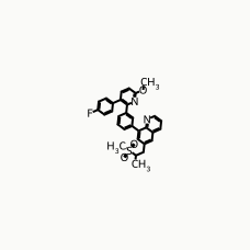 COc1ccc(-c2ccc(F)cc2)c(-c2cccc(-c3cc(CC(C)S(C)(=O)=O)cc4cccnc34)c2)n1